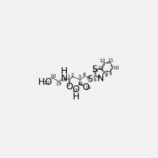 O=C(CC(CSc1nc2ccccc2s1)C(=O)O)NCCO